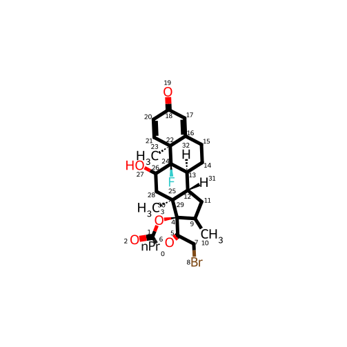 CCCC(=O)O[C@]1(C(=O)CBr)C(C)C[C@H]2[C@@H]3CCC4=CC(=O)C=C[C@]4(C)[C@@]3(F)C(O)C[C@@]21C